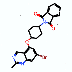 Cc1ncc2c(OC3CCC(N4C(=O)c5ccccc5C4=O)CC3)cc(Br)cc2n1